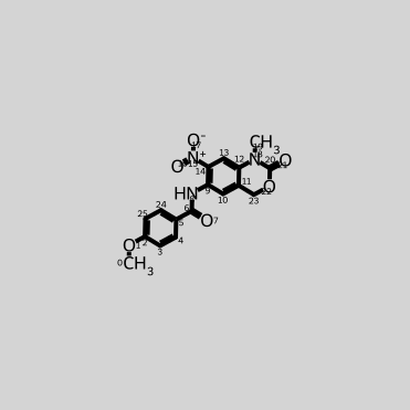 COc1ccc(C(=O)Nc2cc3c(cc2[N+](=O)[O-])N(C)C(=O)OC3)cc1